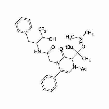 CC(=O)N1C=C(c2ccccc2)N(CC(=O)NC(Cc2ccccc2)C(O)C(F)(F)F)C(=O)C1C(C)(O[SiH](C)C)C(C)(C)C